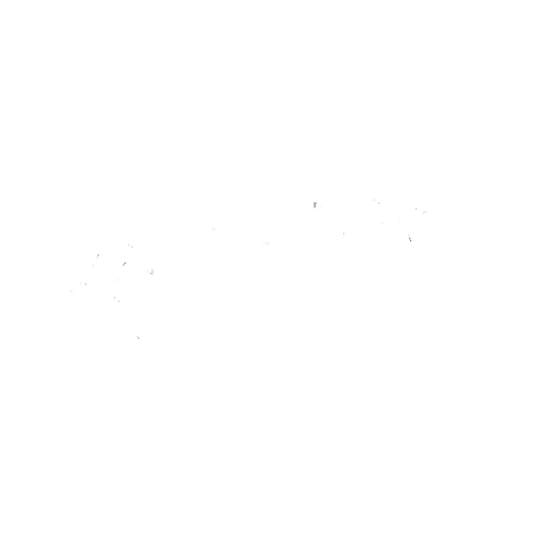 COO/C=N\[C@H](C(=O)N1CCC[C@H]1c1ncc(-c2ccc(C#Cc3ccc4nc([C@@H]5[C@H]6C[C@H]6CN5C(=O)[C@@H](C)C(C)C)[nH]c4c3)cc2)[nH]1)C(C)C